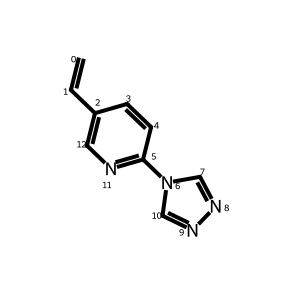 C=Cc1ccc(-n2cnnc2)nc1